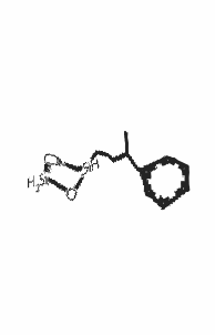 CC(CC[SiH]1O[SiH2]O1)c1ccccc1